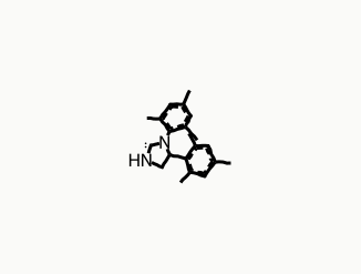 Cc1cc(C)c(C2CN[C]N2c2c(C)cc(C)cc2C)c(C)c1